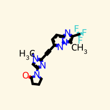 Cc1c(C(F)(F)F)nc2ccc(C#Cc3nc(N4CCCC4=O)cn3C)nn12